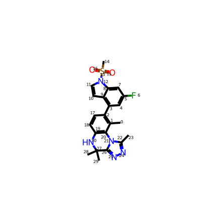 Cc1c(-c2cc(F)cc3c2ccn3S(C)(=O)=O)ccc2c1-n1c(C)nnc1C(C)(C)N2